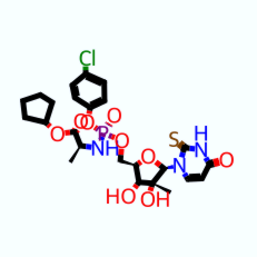 C[C@H](NP(=O)(OC[C@H]1O[C@@H](n2ccc(=O)[nH]c2=S)[C@](C)(O)C1O)Oc1ccc(Cl)cc1)C(=O)OC1CCCC1